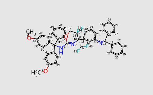 COc1ccc(C(NC2=N[C@@](c3cc(N=C(c4ccccc4)c4ccccc4)ccc3F)(C(F)F)[C@H](F)CO2)(c2ccccc2)c2ccc(OC)cc2)cc1